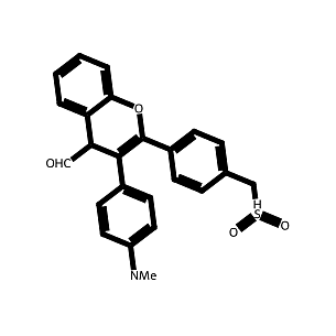 CNc1ccc(C2=C(c3ccc(C[SH](=O)=O)cc3)Oc3ccccc3C2C=O)cc1